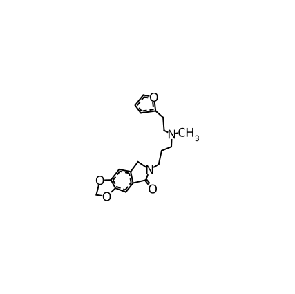 CN(CCCN1Cc2cc3c(cc2C1=O)OCO3)CCc1ccco1